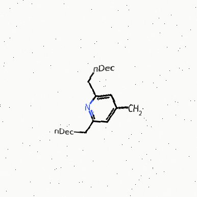 [CH2]c1cc(CCCCCCCCCCC)nc(CCCCCCCCCCC)c1